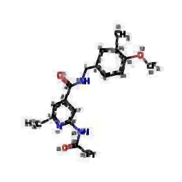 Cc1cc(C(=O)NCc2ccc(OC(F)(F)F)c(C)c2)cc(NC(=O)C(C)C)n1